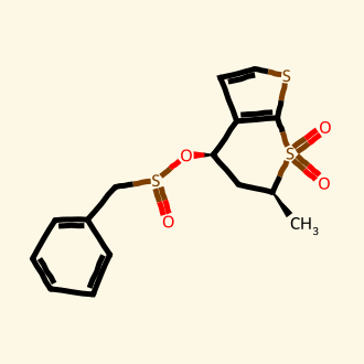 C[C@H]1C[C@@H](OS(=O)Cc2ccccc2)c2ccsc2S1(=O)=O